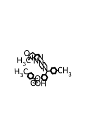 Cc1ccc(C(c2ccccc2)N2CCN(c3ncc4c(n3)N(C)C(=O)C4)CC2)cc1.Cc1ccc(S(=O)(=O)O)cc1